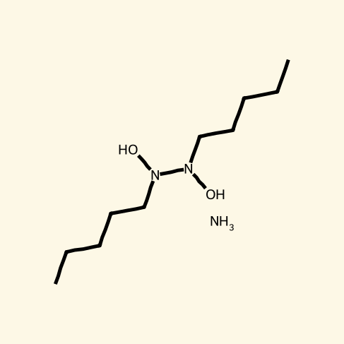 CCCCCN(O)N(O)CCCCC.N